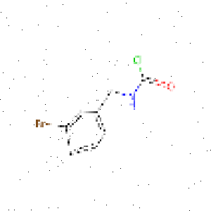 O=C(Cl)NCc1cccc(Br)c1